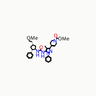 COCC[C@@H]1C[C@@H](NC(=O)Nc2c(C)c(C3=CCN(C(=O)OC)CC3)nn2-c2ccccc2)[C@H](c2ccccc2)C1